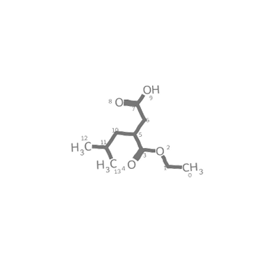 CCOC(=O)C(CC(=O)O)CC(C)C